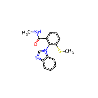 CNC(=O)c1cccc(SC)c1-n1cnc2ccccc21